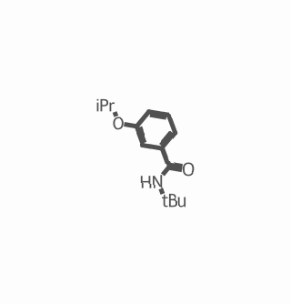 CC(C)Oc1cccc(C(=O)NC(C)(C)C)c1